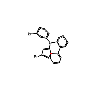 BrC1=CCC(N(c2cccc(Br)c2)c2ccccc2C2=CC=CCC2)=C1